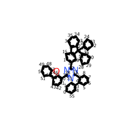 c1ccc(-c2ccccc2-c2nc(-c3ccc4c(c3)C(c3ccccc3)(c3ccccc3)c3ccccc3-4)nc(-c3cccc4c3oc3ccccc34)n2)cc1